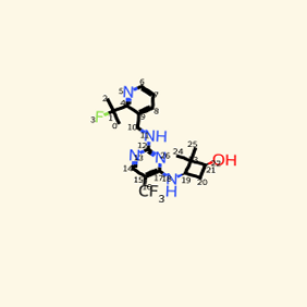 CC(C)(F)c1ncccc1CNc1ncc(C(F)(F)F)c(N[C@@H]2C[C@H](O)C2(C)C)n1